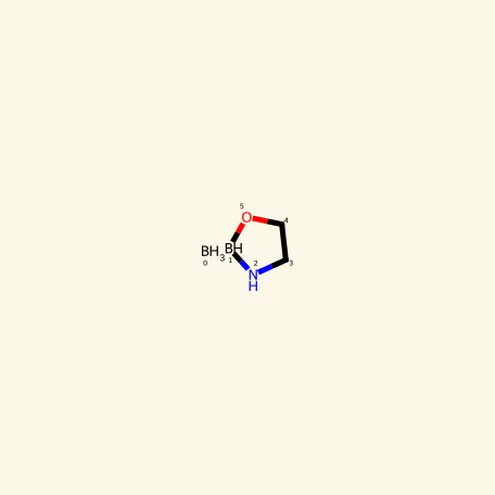 B.B1NCCO1